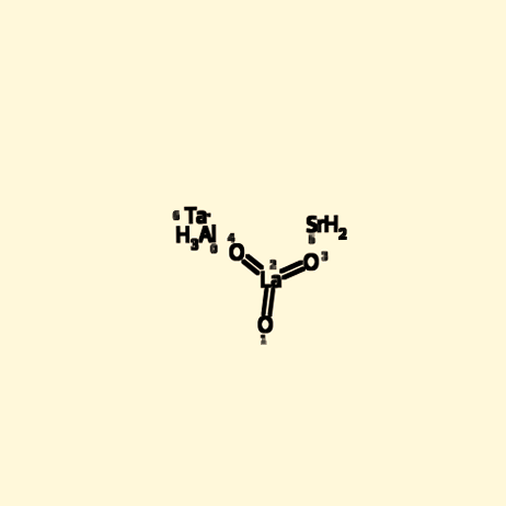 [AlH3].[O]=[La](=[O])=[O].[SrH2].[Ta]